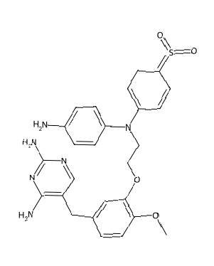 COc1ccc(Cc2cnc(N)nc2N)cc1OCCN(C1=CCC(=S(=O)=O)C=C1)c1ccc(N)cc1